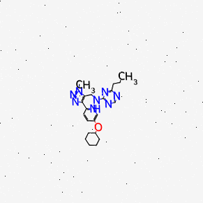 CCCc1ncnc(NCc2c(-c3ccc(OC4CCCCC4)cn3)nnn2C)n1